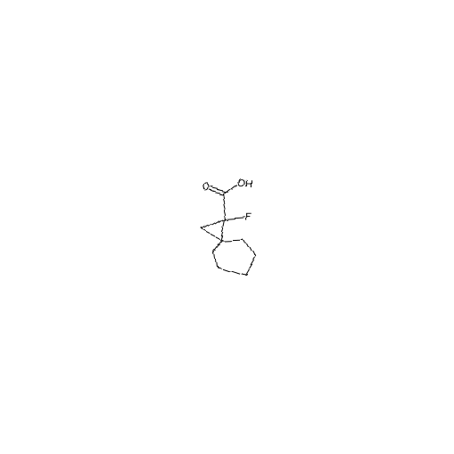 O=C(O)C1(F)CC12CCCCC2